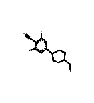 N#Cc1c(F)cc(C2CCC(C=O)CC2)cc1F